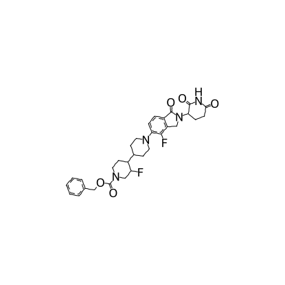 O=C1CCC(N2Cc3c(ccc(N4CCC(C5CCN(C(=O)OCc6ccccc6)CC5F)CC4)c3F)C2=O)C(=O)N1